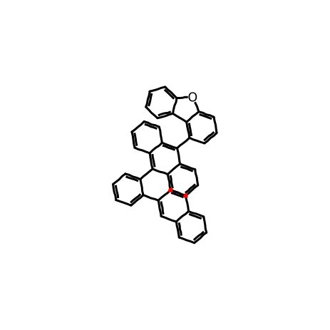 c1ccc(-c2c3ccccc3c(-c3cccc4oc5ccccc5c34)c3ccccc23)c(-c2ccc3ccccc3c2)c1